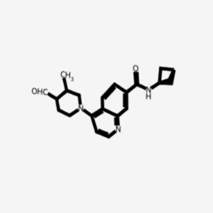 CC1CN(c2ccnc3cc(C(=O)NC45CC(C4)C5)ccc23)CCC1C=O